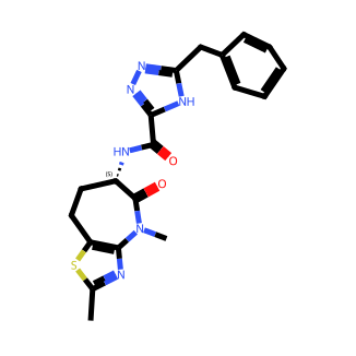 Cc1nc2c(s1)CC[C@H](NC(=O)c1nnc(Cc3ccccc3)[nH]1)C(=O)N2C